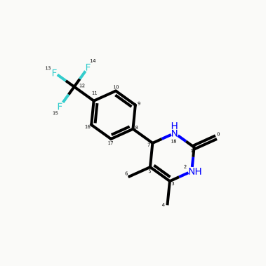 C=C1NC(C)=C(C)C(c2ccc(C(F)(F)F)cc2)N1